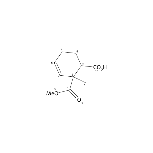 COC(=O)C1(C)C=CCCC1C(=O)O